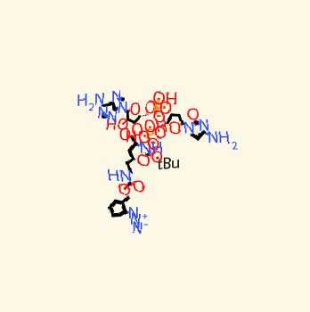 CC(C)(C)OC(=O)NC(CCCCNC(=O)OCc1ccccc1N=[N+]=[N-])C(=O)O[C@H]1[C@@H](O)[C@H](n2cnc3c(N)ncnc32)O[C@@H]1COP(=O)(O)O[C@H]1C[C@H](n2ccc(N)nc2=O)O[C@@H]1COP(=O)(O)O